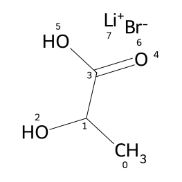 CC(O)C(=O)O.[Br-].[Li+]